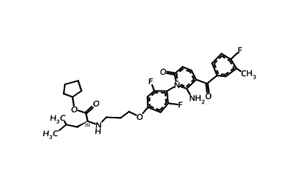 Cc1cc(C(=O)c2ccc(=O)n(-c3c(F)cc(OCCCN[C@@H](CC(C)C)C(=O)OC4CCCC4)cc3F)c2N)ccc1F